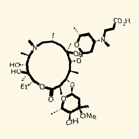 CC[C@H]1OC(=O)[C@H](C)[C@@H](O[C@H]2C[C@@](C)(OC)[C@@H](O)[C@H](C)O2)[C@H](C)[C@@H](O[C@H]2C[C@@H](N(C)CCC(=O)O)C[C@@H](C)O2)[C@](C)(O)C[C@@H](C)CN(C)[C@H](C)[C@@H](O)[C@]1(C)O